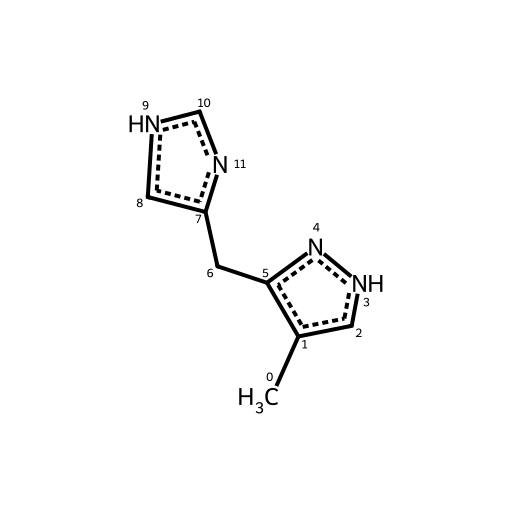 Cc1c[nH]nc1Cc1c[nH]cn1